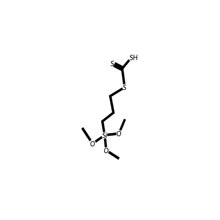 CO[Si](CCCSC(=S)S)(OC)OC